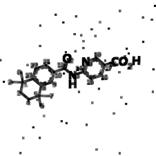 CC1(C)CCC(C)(C)c2cc(C(=O)Nc3ccc(C(=O)O)cn3)ccc21